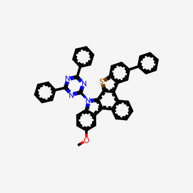 COc1ccc2c(c1)c1c3ccccc3c3c4cc(-c5ccccc5)ccc4sc3c1n2-c1nc(-c2ccccc2)nc(-c2ccccc2)n1